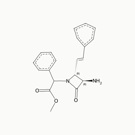 COC(=O)C(c1ccccc1)N1C(=O)[C@H](N)[C@H]1C=Cc1ccccc1